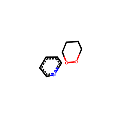 C1CCOOC1.c1ccncc1